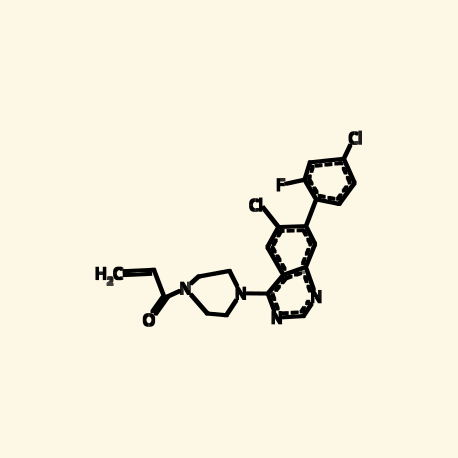 C=CC(=O)N1CCN(c2ncnc3cc(-c4ccc(Cl)cc4F)c(Cl)cc23)CC1